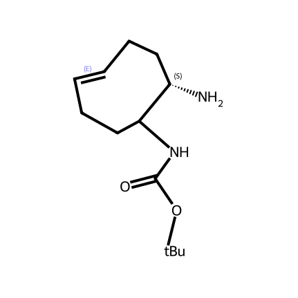 CC(C)(C)OC(=O)NC1CC/C=C/CC[C@@H]1N